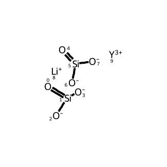 O=[Si]([O-])[O-].O=[Si]([O-])[O-].[Li+].[Y+3]